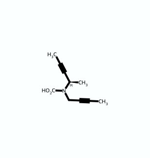 CC#CCN(C(=O)O)[C@H](C)C#CC